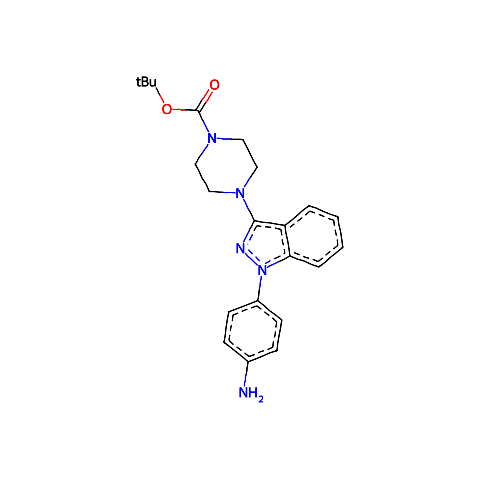 CC(C)(C)OC(=O)N1CCN(c2nn(-c3ccc(N)cc3)c3ccccc23)CC1